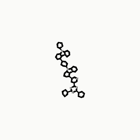 c1ccc(-c2nc(-c3ccccc3)nc(-c3cncc(-c4cccc5c4c4ccccc4n5-c4ccc(-c5cccc6c5c5ccccc5n6-c5ccccc5)cc4)c3)n2)cc1